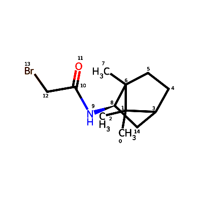 CC1(C)C2CCC1(C)[C@H](NC(=O)CBr)C2